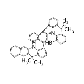 CC1(C)c2cc3ccccc3cc2Nc2c(-c3c4c5c(c6ccccc36)c3cccc6c3n5-c3c(cccc3C6(C)C)B4)cccc21